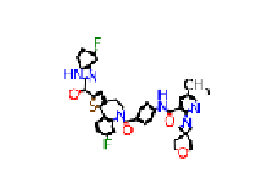 Cc1cnc(N2CC3(CCOCC3)C2)c(C(=O)Nc2ccc(C(=O)N3CCc4cc(C(=O)c5nc6cc(F)ccc6[nH]5)sc4-c4ccc(F)cc43)cc2)c1